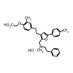 Cc1cc(SCc2cc(-c3ccc(C(F)(F)F)cc3)oc2CN(C)CCc2ccccc2)ccc1OCC(=O)O.Cl